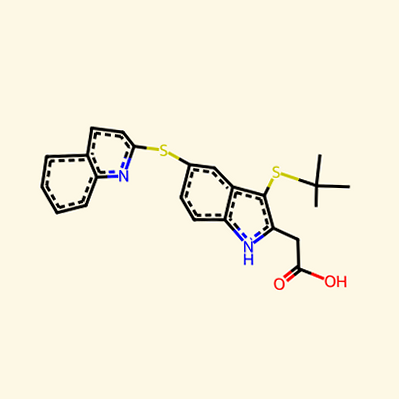 CC(C)(C)Sc1c(CC(=O)O)[nH]c2ccc(Sc3ccc4ccccc4n3)cc12